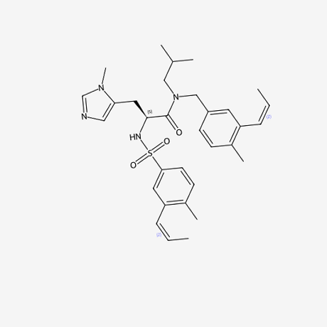 C/C=C\c1cc(CN(CC(C)C)C(=O)[C@H](Cc2cncn2C)NS(=O)(=O)c2ccc(C)c(/C=C\C)c2)ccc1C